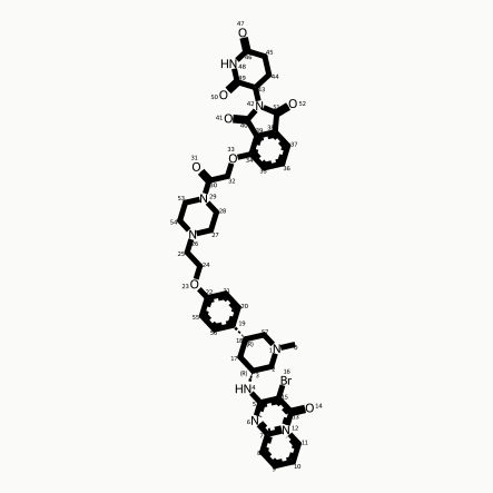 CN1C[C@H](Nc2nc3ccccn3c(=O)c2Br)C[C@H](c2ccc(OCCN3CCN(C(=O)COc4cccc5c4C(=O)N(C4CCC(=O)NC4=O)C5=O)CC3)cc2)C1